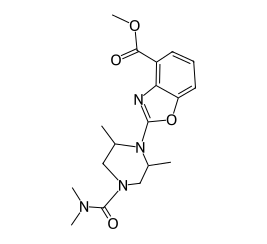 COC(=O)c1cccc2oc(N3C(C)CN(C(=O)N(C)C)CC3C)nc12